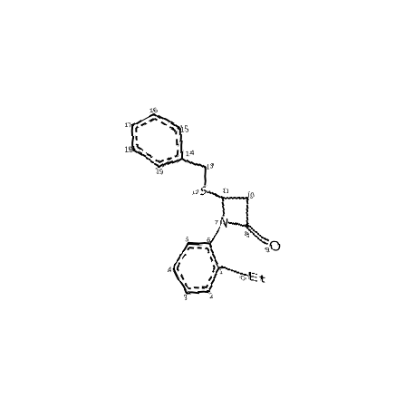 CCc1ccccc1N1C(=O)CC1SCc1ccccc1